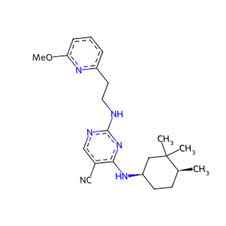 COc1cccc(CCNc2ncc(C#N)c(N[C@@H]3CC[C@H](C)C(C)(C)C3)n2)n1